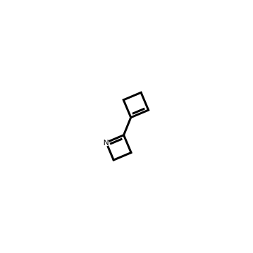 C1=C(C2=NCC2)CC1